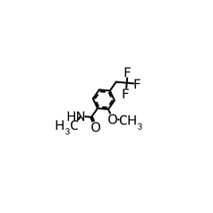 CNC(=O)c1ccc(CC(F)(F)F)cc1OC